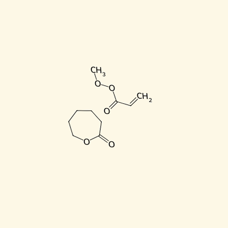 C=CC(=O)OOC.O=C1CCCCCO1